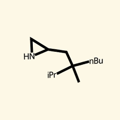 CCCCC(C)(CC1CN1)C(C)C